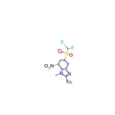 CCc1nc2cc(S(=O)(=O)C(F)F)cc([N+](=O)[O-])c2n1C